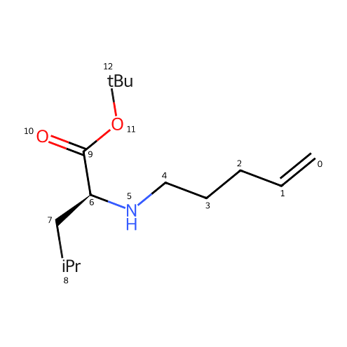 C=CCCCN[C@@H](CC(C)C)C(=O)OC(C)(C)C